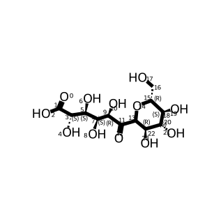 O=C(O)[C@@H](O)[C@@H](O)[C@H](O)[C@@H](O)C(=O)C1O[C@H](CO)[C@@H](O)[C@H](O)[C@H]1O